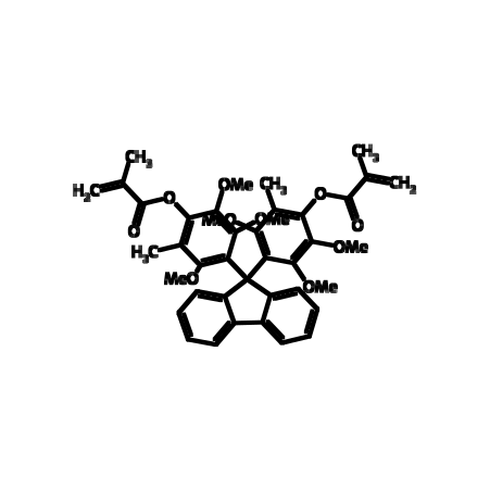 C=C(C)C(=O)Oc1c(C)c(OC)c(C2(c3c(OC)c(C)c(OC(=O)C(=C)C)c(OC)c3OC)c3ccccc3-c3ccccc32)c(OC)c1OC